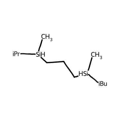 CCC(C)[SiH](C)CCC[SiH](C)C(C)C